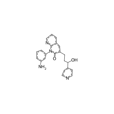 Nc1cccc(-n2c(=O)c(CCC(O)c3ccncc3)cc3cccnc32)c1